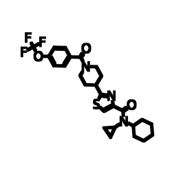 O=C(c1ccc(OC(F)(F)F)cc1)N1CCC(c2nc(C(=O)N(C3CCCCC3)C3CC3)cs2)CC1